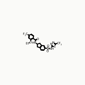 CCOc1cc(C(F)(F)F)ccc1C(=O)NC1Cc2ccc(S(=O)(=O)Nc3nnc(C(F)(F)F)s3)cc2C1